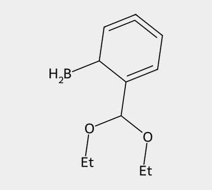 BC1C=C=CC=C1C(OCC)OCC